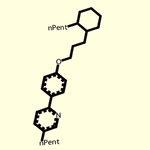 CCCCCc1ccc(-c2ccc(OCCCC3CCCCC3CCCCC)cc2)nc1